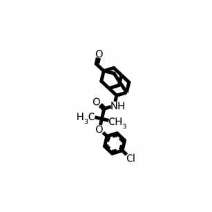 CC(C)(Oc1ccc(Cl)cc1)C(=O)NC1C2CC3CC1CC(C=O)(C3)C2